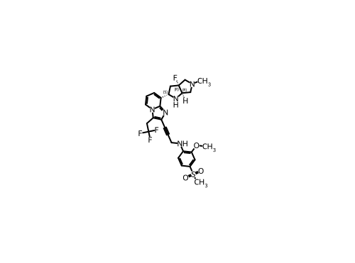 COc1cc(S(C)(=O)=O)ccc1NCC#Cc1nc2c([C@@H]3C[C@@]4(F)CN(C)C[C@H]4N3)cccn2c1CC(F)(F)F